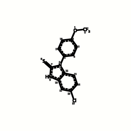 FC(F)(F)Oc1ccc(-n2c(=S)[nH]c3cc(Cl)ccc32)cc1